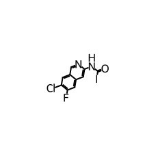 O=C(I)Nc1cc2cc(F)c(Cl)cc2cn1